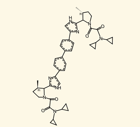 C[C@@H]1CCN(C(=O)C(=O)N(C2CC2)C2CC2)C1c1nc(-c2ccc(-c3ccc(-c4c[nH]c(C5[C@H](C)CCN5C(=O)C(=O)N(C5CC5)C5CC5)n4)cc3)cc2)c[nH]1